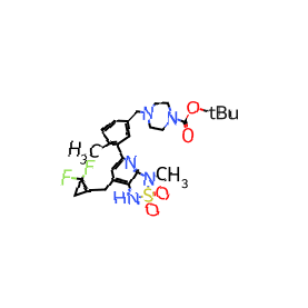 Cc1ccc(CN2CCN(C(=O)OC(C)(C)C)CC2)cc1-c1cc(CC2CC2(F)F)c2c(n1)N(C)S(=O)(=O)N2